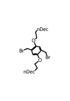 CCCCCCCCCCCCOc1cc(CBr)c(OCCCCCCCCCCCC)cc1CBr